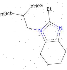 CCCCCCCCC(CCCCCC)Cn1c(CC)nc2c1CCCC2